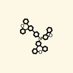 c1ccc2c(c1)Oc1ccccc1-c1cc(-c3ccc(N(c4ccc5c(c4)-c4ccccc4Oc4ccccc4-5)c4ccc5oc6ccccc6c5c4)cc3)ccc1-2